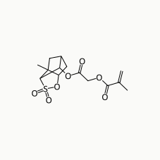 C=C(C)C(=O)OCC(=O)OC1C2CC3OS(=O)(=O)C1C3(C)C2